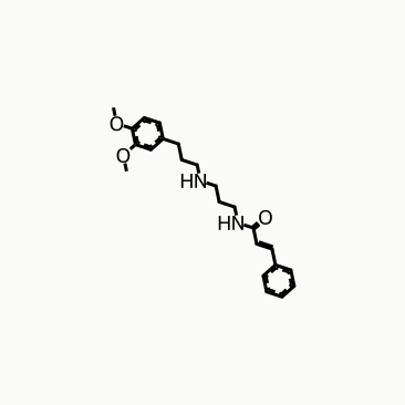 COc1ccc(CCCNCCCNC(=O)/C=C/c2ccccc2)cc1OC